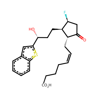 O=C(O)CCC/C=C\C[C@H]1C(=O)C[C@H](F)[C@@H]1CC[C@@H](O)c1cc2ccccc2s1